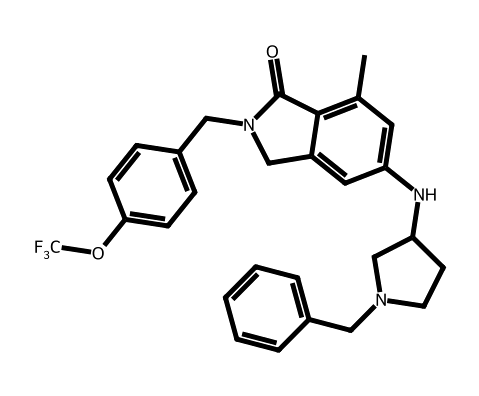 Cc1cc(NC2CCN(Cc3ccccc3)C2)cc2c1C(=O)N(Cc1ccc(OC(F)(F)F)cc1)C2